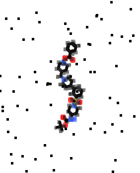 CC(C)(C)OC(=O)NC1CCN(S(=O)(=O)c2cccc(C3CCN(CC4CCN(OC(=O)c5ccccc5)CC4)CC3)c2)CC1